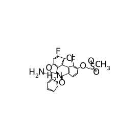 CS(=O)(=O)COc1ccc(C(N)=O)c(-c2c(Cl)c(F)cc3c2C[C@@](CN)(c2ccccc2)O3)c1F